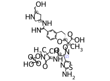 CC1(C)[C@H](NC(=O)/C(=N\O[C@](C)(C(=O)O)[C@H]2CCc3cc(C(=N)N[C@@H]4CN[C@@H](CO)C4)ccc3O2)c2csc(N)n2)C(=O)N1OS(=O)(=O)O